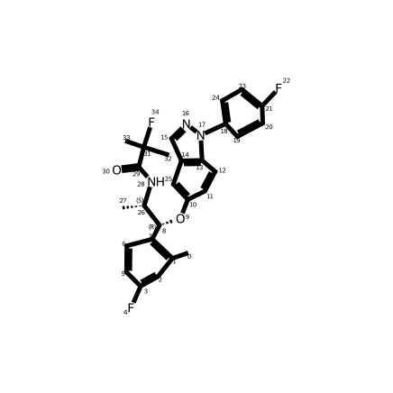 Cc1cc(F)ccc1[C@@H](Oc1ccc2c(cnn2-c2ccc(F)cc2)c1)[C@H](C)NC(=O)C(C)(C)F